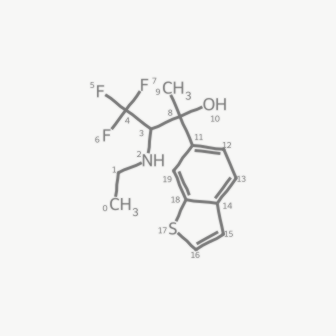 CCNC(C(F)(F)F)C(C)(O)c1ccc2ccsc2c1